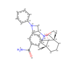 CO[C@@]1(c2cccc(C(N)=O)c2)[C@@H]2CCC[C@H]1CN(C1CN(c3ccccc3)C1)C2